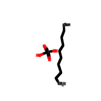 CCCCCCCCCCCCCCCCCC(=O)O.[O]=[Cr](=[O])([OH])[OH]